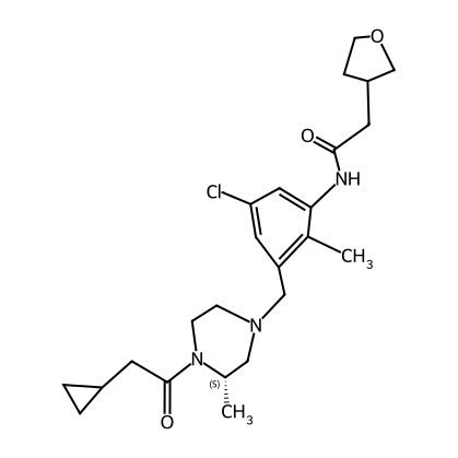 Cc1c(CN2CCN(C(=O)CC3CC3)[C@@H](C)C2)cc(Cl)cc1NC(=O)CC1CCOC1